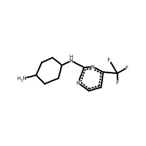 NC1CCC(Nc2nccc(C(F)(F)F)n2)CC1